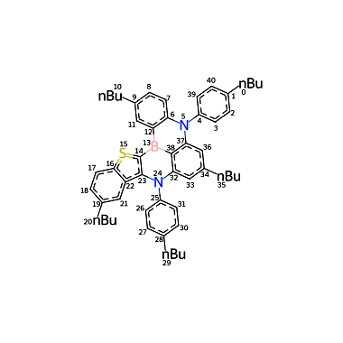 CCCCc1ccc(N2c3ccc(CCCC)cc3B3c4sc5ccc(CCCC)cc5c4N(c4ccc(CCCC)cc4)c4cc(CCCC)cc2c43)cc1